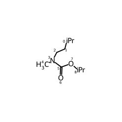 CC(C)CCN(C)C(=O)OC(C)C